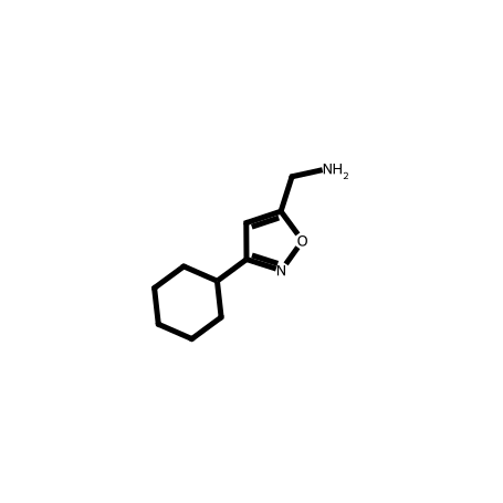 NCc1cc(C2CCCCC2)no1